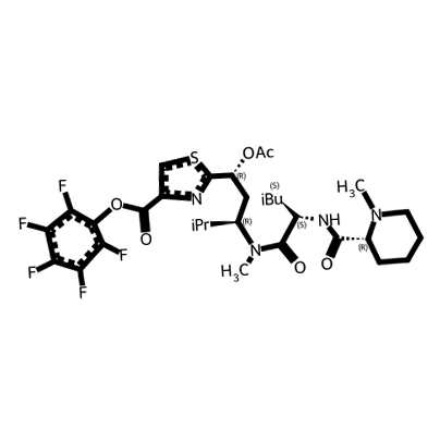 CC[C@H](C)[C@H](NC(=O)[C@H]1CCCCN1C)C(=O)N(C)[C@H](C[C@@H](OC(C)=O)c1nc(C(=O)Oc2c(F)c(F)c(F)c(F)c2F)cs1)C(C)C